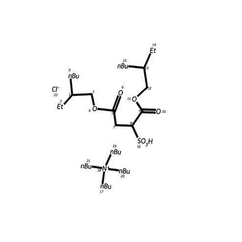 CCCCC(CC)COC(=O)CC(C(=O)OCC(CC)CCCC)S(=O)(=O)O.CCCC[N+](CCCC)(CCCC)CCCC.[Cl-]